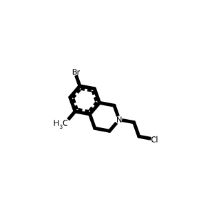 Cc1cc(Br)cc2c1CCN(CCCl)C2